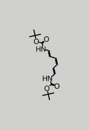 CC(C)(C)OC(=O)N/C=C/C=C\C=C\NC(=O)OC(C)(C)C